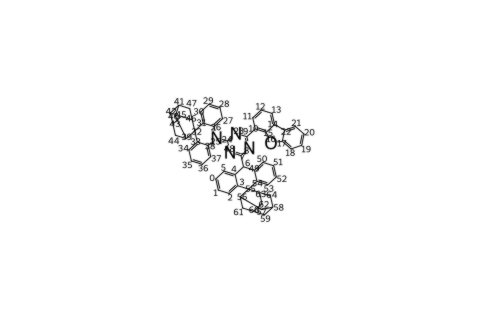 c1ccc2c(c1)C(c1nc(-c3cccc4c3oc3ccccc34)nc(N3c4ccccc4C4(c5ccccc53)C3CC5CC(C3)CC4C5)n1)c1ccccc1C21C2CC3CC(C2)CC1C3